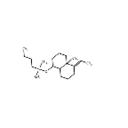 CC=C1CCCC2C(O[Si](C)(C)CCCC)CCCC12C